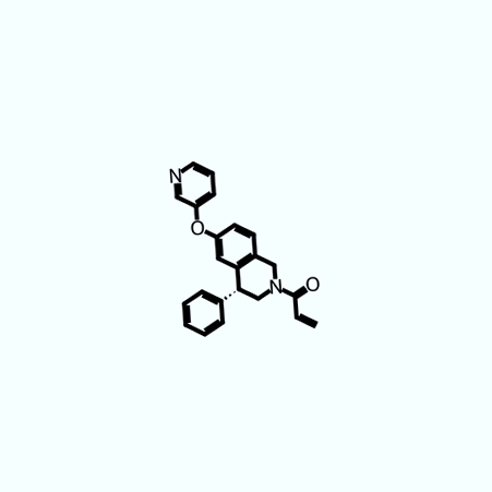 C=CC(=O)N1Cc2ccc(Oc3cccnc3)cc2[C@@H](c2ccccc2)C1